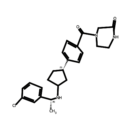 C[C@@H](NC1CC[C@H](c2ccc(C(=O)N3CCNC(=O)C3)cc2)C1)c1cccc(Cl)c1